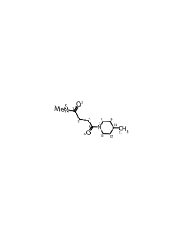 CNC(=O)CCC(=O)N1CCC(C)CC1